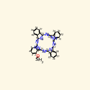 [SiH3]Oc1cccc2c3nc4nc(nc5[nH]c(nc6nc(nc([nH]3)c12)-c1ccccc1-6)c1ccccc51)-c1ccccc1-4